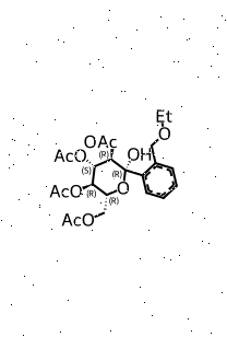 CCOCc1ccccc1[C@@]1(O)O[C@H](COC(C)=O)[C@@H](OC(C)=O)[C@H](OC(C)=O)[C@H]1OC(C)=O